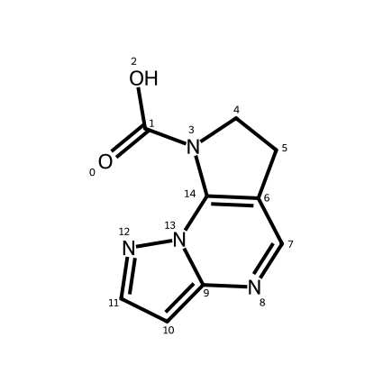 O=C(O)N1CCc2cnc3ccnn3c21